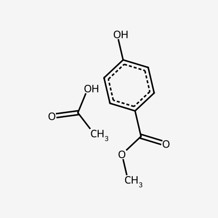 CC(=O)O.COC(=O)c1ccc(O)cc1